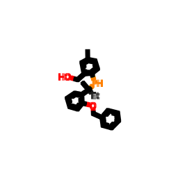 CCC(C)(Pc1ccc(C)cc1CO)c1ccccc1OCc1ccccc1